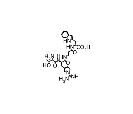 CC(O)C(N)C(=O)NC(CC1=CCN(C(=N)N)C1)C(=O)NCCC(=O)NC(Cc1cc2ccccc2[nH]1)C(=O)O